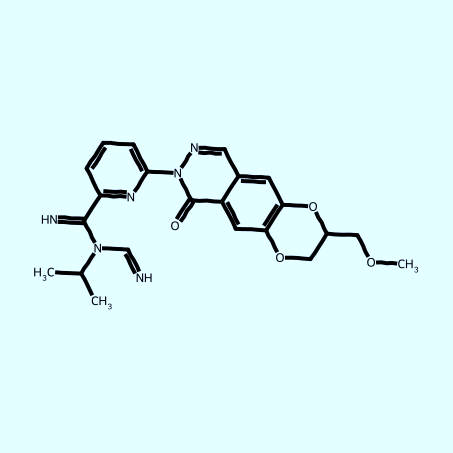 COCC1COc2cc3c(=O)n(-c4cccc(C(=N)N(C=N)C(C)C)n4)ncc3cc2O1